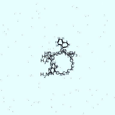 C[C@@H]1NP(=O)(Oc2cccc3ccccc23)OCC2OC(n3cnc4c(nc(N)nc43)OCCCCCCCOC1=O)[C@](C)(O)[C@@H]2O